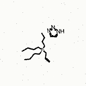 C=CC[P](CCCC)(CCCC)CCCC.c1c[nH]nn1